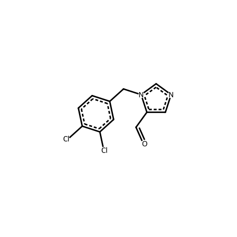 O=Cc1cncn1Cc1ccc(Cl)c(Cl)c1